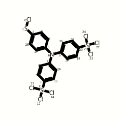 ClSc1ccc(N(c2ccc([Si](Cl)(Cl)Cl)cc2)c2ccc([Si](Cl)(Cl)Cl)cc2)cc1